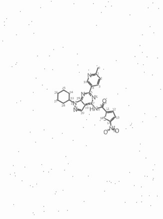 Cc1ccc(-c2nc(NC(=O)c3ccc([N+](=O)[O-])s3)c3cnn(C4CCCCC4)c3n2)cn1